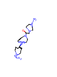 NN1CCC(N2CCN(C(=O)CN3CCN(N)CC3)CC2)CC1